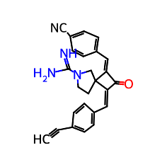 C#Cc1ccc(/C=C2/C(=O)/C(=C/c3ccc(C#N)cc3)C23CCN(C(=N)N)C3)cc1